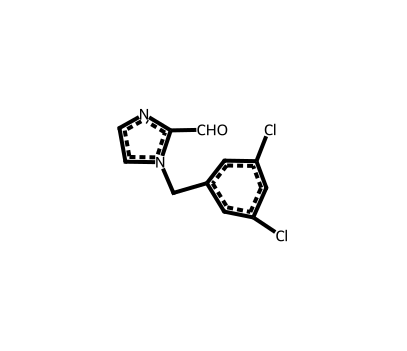 O=Cc1nccn1Cc1cc(Cl)cc(Cl)c1